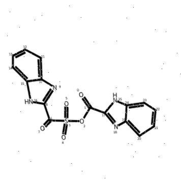 O=C(OS(=O)(=O)C(=O)c1nc2ccccc2[nH]1)c1nc2ccccc2[nH]1